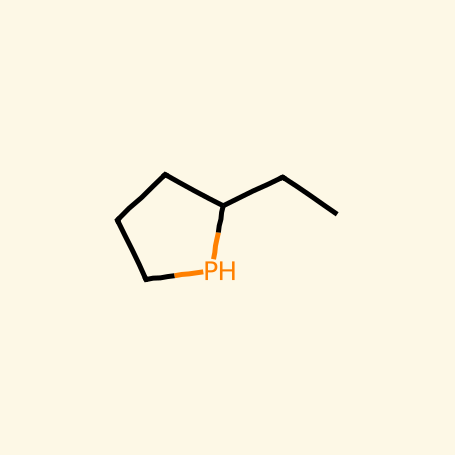 CCC1CCCP1